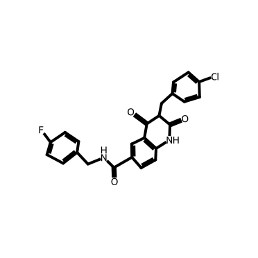 O=C(NCc1ccc(F)cc1)c1ccc2c(c1)C(=O)C(Cc1ccc(Cl)cc1)C(=O)N2